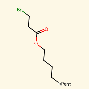 CCCCCCCCCOC(=O)CCBr